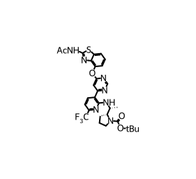 CC(=O)Nc1nc2c(Oc3cc(-c4ccc(C(F)(F)F)nc4N[C@H](C)[C@H]4CCCN4C(=O)OC(C)(C)C)ncn3)cccc2s1